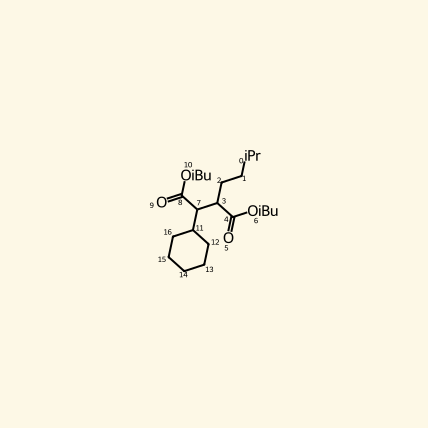 CC(C)CCC(C(=O)OCC(C)C)C(C(=O)OCC(C)C)C1CCCCC1